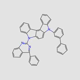 c1ccc(-c2cccc(-n3c4ccccc4c4c5c6ccccc6n(-c6nc(-c7ccccc7)c7ccccc7n6)c5ccc43)c2)cc1